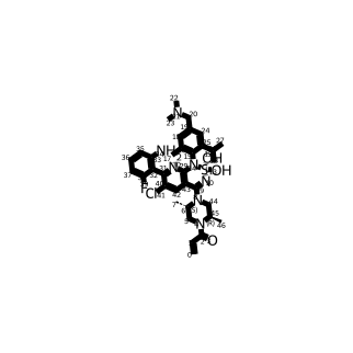 C=CC(=O)N1C[C@H](C)N(C2=NS(O)(O)N(c3c(C)cc(CN(C)C)cc3C(C)C)c3nc(-c4c(N)cccc4F)c(Cl)cc32)C[C@H]1C